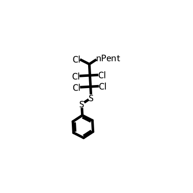 CCCCCC(Cl)C(Cl)(Cl)C(Cl)(Cl)SSc1ccccc1